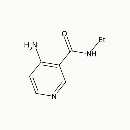 CCNC(=O)c1cnccc1N